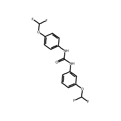 O=C(Nc1ccc(OC(F)F)cc1)Nc1cccc(OC(F)F)c1